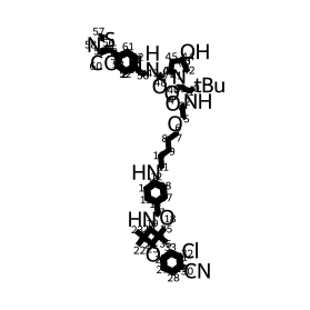 CC(C)(C)C(NC(=O)COCCCCCNc1ccc(C(=O)N[C@H]2C(C)(C)[C@H](Oc3ccc(C#N)c(Cl)c3)C2(C)C)cc1)C(=O)N1C[C@H](O)C[C@H]1C(=O)NCc1ccc(-c2scnc2C(=O)O)cc1